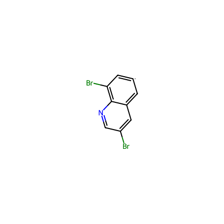 Brc1cnc2c(Br)c[c]cc2c1